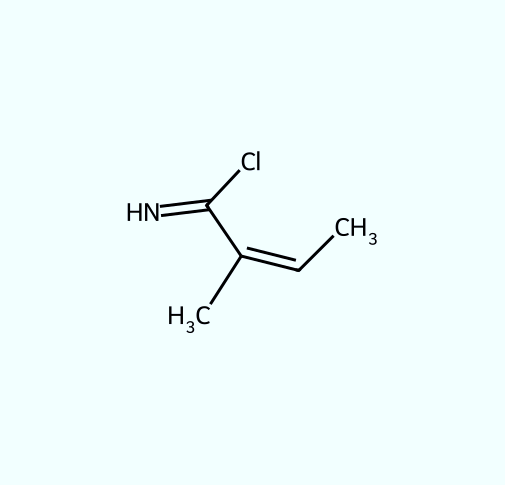 C/C=C(/C)C(=N)Cl